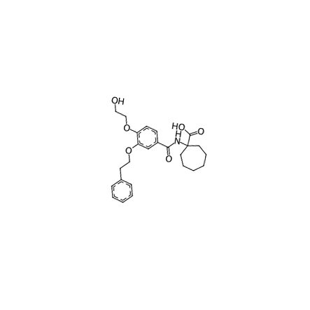 O=C(NC1(C(=O)O)CCCCCC1)c1ccc(OCCO)c(OCCc2ccccc2)c1